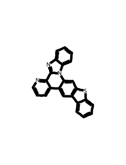 c1ccc2c(c1)nc1c3ncccc3c3cc4c(cc3n21)sc1ccccc14